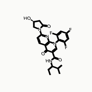 CCC(NC(=O)c1cn(-c2c(F)cc(F)cc2F)c2nc(N3C[C@@H](O)CC3=O)ccc2c1=O)C(C)C